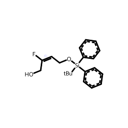 CC(C)(C)[Si](OC/C=C(/F)CO)(c1ccccc1)c1ccccc1